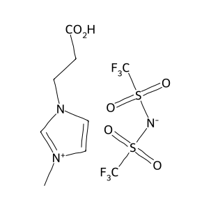 C[n+]1ccn(CCC(=O)O)c1.O=S(=O)([N-]S(=O)(=O)C(F)(F)F)C(F)(F)F